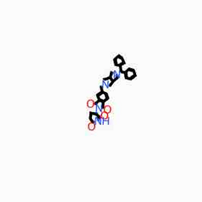 O=C1CCC(N2C(=O)c3ccc(CN4CC5CN(C(c6ccccc6)c6ccccc6)CC5C4)cc3C2=O)C(=O)N1